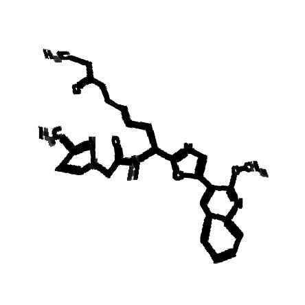 CCC(=O)CCCCCC(NC(=O)Cn1ccc(C)n1)c1ncc(-c2cc3ccccc3nc2OC)o1